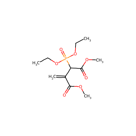 C=C(C(=O)OC)C(C(=O)OC)P(=O)(OCC)OCC